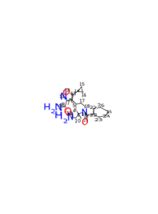 CC1(CN)CC(c2c(C(N)=O)noc2C2CC2)CCN1C(=O)C1CCCCC1